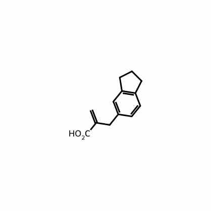 C=C(Cc1ccc2c(c1)CCC2)C(=O)O